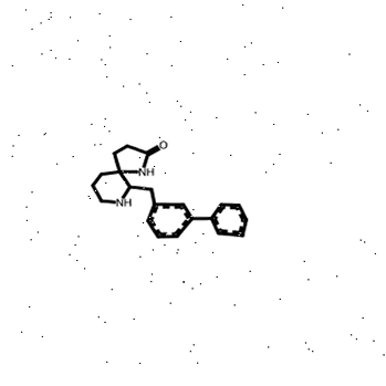 O=C1CCC2(CCCNC2Cc2cccc(-c3ccccc3)c2)N1